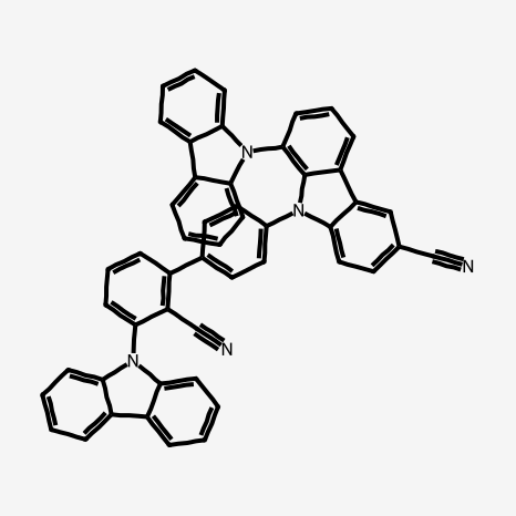 N#Cc1ccc2c(c1)c1cccc(-n3c4ccccc4c4ccccc43)c1n2-c1ccc(-c2cccc(-n3c4ccccc4c4ccccc43)c2C#N)cc1